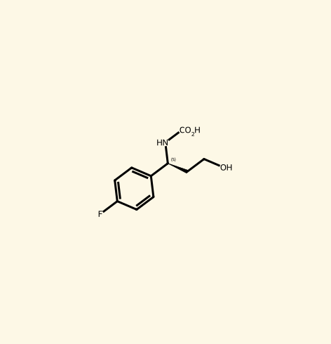 O=C(O)N[C@@H](CCO)c1ccc(F)cc1